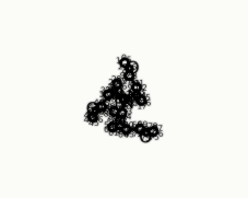 c1ccc2c(c1)oc1cc(-c3ccc4c5ccccc5n(-c5cc(-n6c7ccccc7c7ccc(-c8ccc9c(c8)oc8ccccc89)cc76)nc(-c6ccc(-n7c8ccccc8c8ccc(-c9ccc%10c(c9)oc9ccccc9%10)cc87)c7ccccc67)n5)c4c3)ccc12